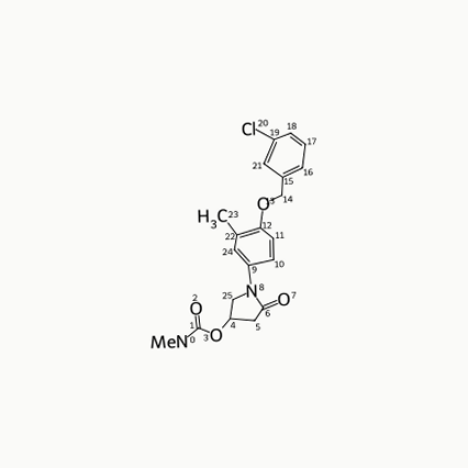 CNC(=O)OC1CC(=O)N(c2ccc(OCc3cccc(Cl)c3)c(C)c2)C1